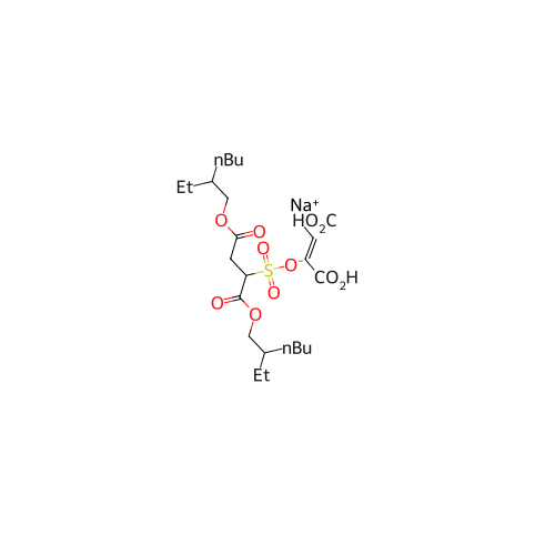 CCCCC(CC)COC(=O)CC(C(=O)OCC(CC)CCCC)S(=O)(=O)[O-].O=C(O)/C=C/C(=O)O.[Na+]